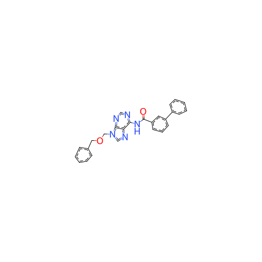 O=C(Nc1ncnc2c1ncn2COCc1ccccc1)c1cccc(-c2ccccc2)c1